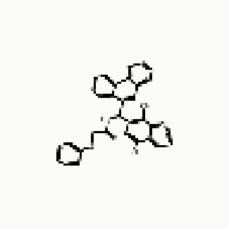 O=C(COc1ccccc1)NC(c1cc(Cl)c2cccnc2c1O)c1cc2ccccc2c2ccccc12